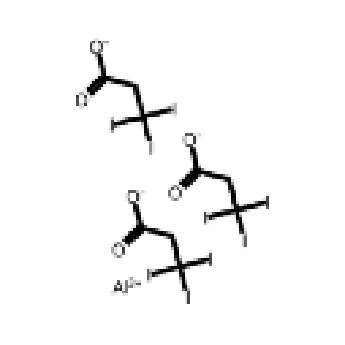 O=C([O-])CC(I)(I)I.O=C([O-])CC(I)(I)I.O=C([O-])CC(I)(I)I.[Al+3]